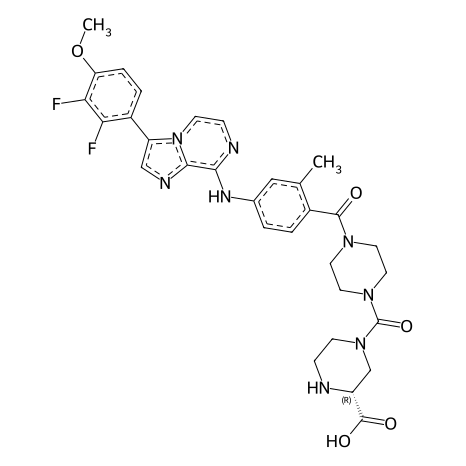 COc1ccc(-c2cnc3c(Nc4ccc(C(=O)N5CCN(C(=O)N6CCN[C@@H](C(=O)O)C6)CC5)c(C)c4)nccn23)c(F)c1F